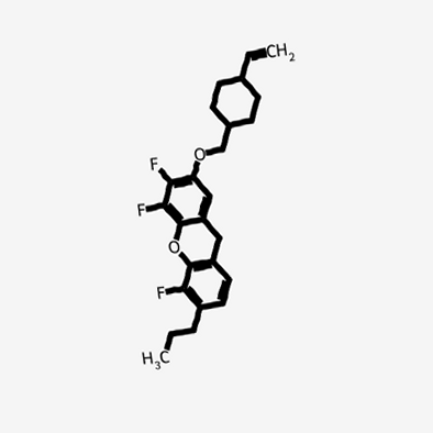 C=CC1CCC(COc2cc3c(c(F)c2F)Oc2c(ccc(CCC)c2F)C3)CC1